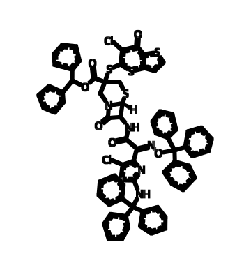 O=C(NC1C(=O)N2CC(Sc3sc4ccsc4c(=O)c3Cl)(C(=O)OC(c3ccccc3)c3ccccc3)CS[C@H]12)C(=NOC(c1ccccc1)(c1ccccc1)c1ccccc1)c1nc(NC(c2ccccc2)(c2ccccc2)c2ccccc2)sc1Cl